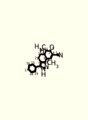 C[C@@H]1C(=O)C(C#N)=C[C@]2(C)c3n[nH]c(-c4ccccc4)c3CC[C@@H]12